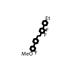 CCc1ccc(-c2ccc(CCc3ccc(-c4ccc(OC)c(F)c4)cc3)c(F)c2F)cc1